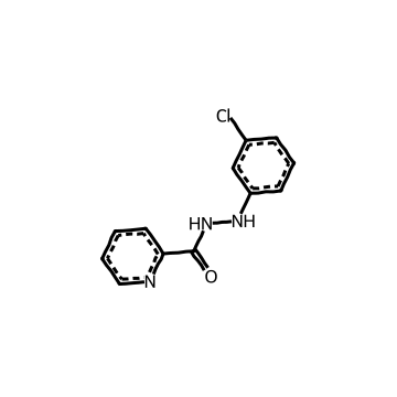 O=C(NNc1cccc(Cl)c1)c1ccccn1